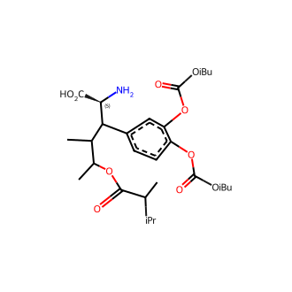 CC(C)COC(=O)Oc1ccc(C(C(C)C(C)OC(=O)C(C)C(C)C)[C@H](N)C(=O)O)cc1OC(=O)OCC(C)C